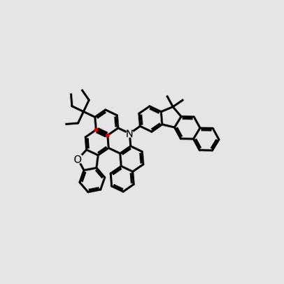 CCC(CC)(CC)c1ccc(N(c2ccc3c(c2)-c2cc4ccccc4cc2C3(C)C)c2ccc3ccccc3c2-c2cccc3oc4ccccc4c23)cc1